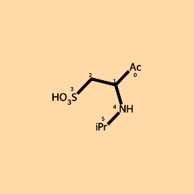 CC(=O)C(CS(=O)(=O)O)NC(C)C